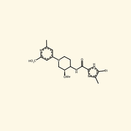 CCc1[nH]c(C(=O)NC2CCN(c3cc(C)nc(C(=O)O)c3)C[C@@H]2OC)nc1C